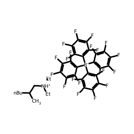 CCCCC(C)C[NH+](CC)CC.Fc1c(F)c(F)c([B-](c2c(F)c(F)c(F)c(F)c2F)(c2c(F)c(F)c(F)c(F)c2F)c2c(F)c(F)c(F)c(F)c2F)c(F)c1F